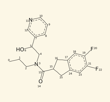 CCCN(CC(O)c1cccnc1)C(=O)C1Cc2cc(F)c(F)cc2C1